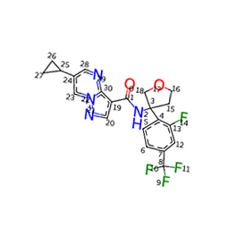 O=C(NC1(c2ccc(C(F)(F)F)cc2F)CCOC1)c1cnn2cc(C3CC3)cnc12